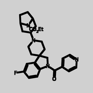 CCOC(=O)N1C2CCC1CC(N1CCC3(CC1)CN(C(=O)c1ccncc1)c1ccc(F)cc13)C2